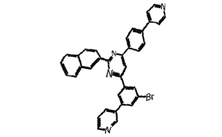 Brc1cc(-c2cccnc2)cc(-c2cc(-c3ccc(-c4ccncc4)cc3)nc(-c3ccc4ccccc4c3)n2)c1